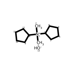 C[N+](C)(C1CCCC1)C1CCCC1.[OH-]